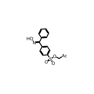 CC(=O)COS(=O)(=O)c1ccc(C(=NO)c2ccccc2)cc1